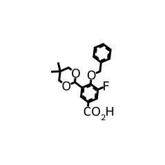 CC1(C)COC(c2cc(C(=O)O)cc(F)c2OCc2ccccc2)OC1